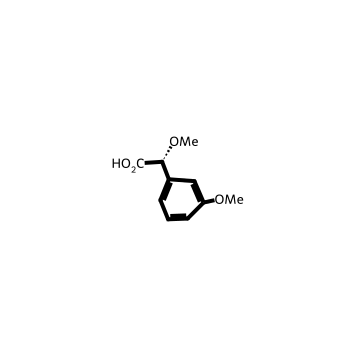 COc1cccc([C@@H](OC)C(=O)O)c1